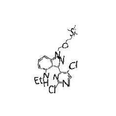 CCNc1cccc2c1c(-c1nc(Cl)ncc1Cl)nn2COCC[Si](C)(C)C